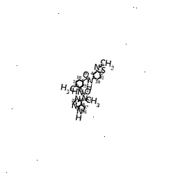 Cc1nc2cc(NC(=O)c3ccc(C)c(NC(=O)N(C)c4ncnc5[nH]ccc45)c3)ccc2s1